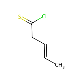 C/C=C/CC(=S)Cl